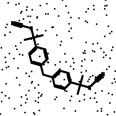 CC(C)(SC#N)c1ccc(Cc2ccc(C(C)(C)SC#N)cc2)cc1